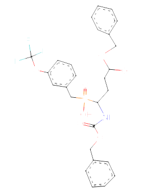 O=C(NC(CCC(O)OCc1ccccc1)P(=O)(O)Cc1cccc(OC(F)(F)F)c1)OCc1ccccc1